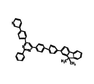 CC1(C)c2ccccc2-c2ccc(-c3ccc(-c4ccc(-c5cc(-c6ccc(-c7cccnc7)cc6)nc(-c6ccccc6)n5)cc4)cc3)cc21